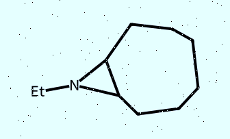 CCN1C2CCCCCCC21